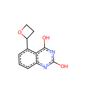 Oc1nc(O)c2c(C3CCO3)cccc2n1